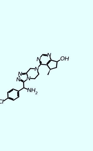 C[C@@H]1CC(O)c2ncnc(N3CCn4c(nnc4C(N)c4ccc(Cl)cc4)C3)c21